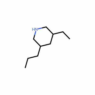 CCCC1CNCC(CC)C1